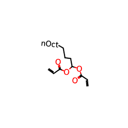 C=CC(=O)OC(CCCCCCCCCCC)OC(=O)C=C